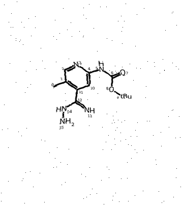 Cc1cnc(NC(=O)OC(C)(C)C)cc1C(=N)NN